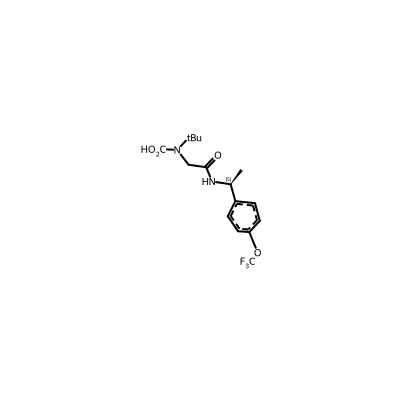 C[C@H](NC(=O)CN(C(=O)O)C(C)(C)C)c1ccc(OC(F)(F)F)cc1